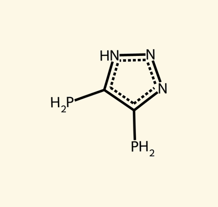 Pc1nn[nH]c1P